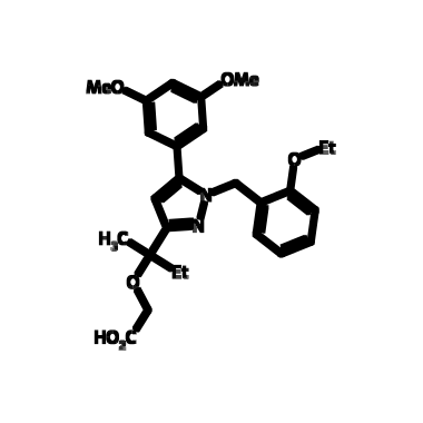 CCOc1ccccc1Cn1nc(C(C)(CC)OCC(=O)O)cc1-c1cc(OC)cc(OC)c1